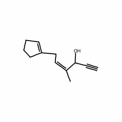 C#CC(O)C(C)=CCC1=CCCC1